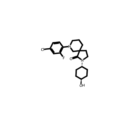 O=C1N([C@H]2CC[C@H](O)CC2)CCC12CCCN(c1ccc(Cl)cc1F)C2